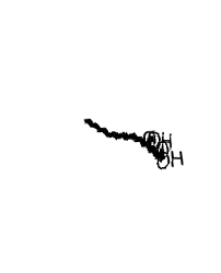 CCCCCCCCCCCCCCCC(=CC=CC(=O)O)OO